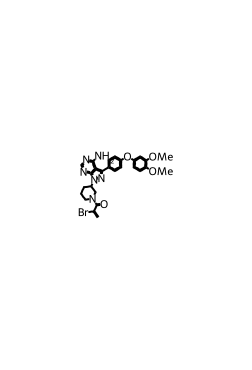 C=C(Br)C(=O)N1CCCC(n2nc(-c3ccc(Oc4ccc(OC)c(OC)c4)cc3)c3c(N)ncnc32)C1